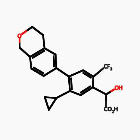 O=C(O)C(O)c1cc(C2CC2)c(-c2ccc3c(c2)CCOC3)cc1C(F)(F)F